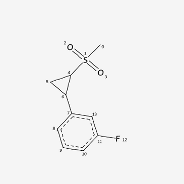 CS(=O)(=O)C1CC1c1[c]ccc(F)c1